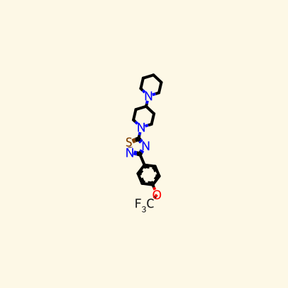 FC(F)(F)Oc1ccc(-c2nsc(N3CCC(N4CCCCC4)CC3)n2)cc1